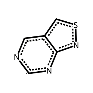 [c]1ncc2csnc2n1